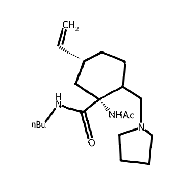 C=C[C@@H]1CCC(CN2CCCC2)[C@@](NC(C)=O)(C(=O)NCCCC)C1